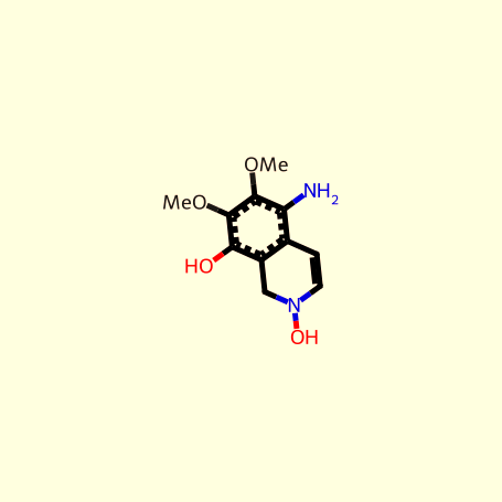 COc1c(N)c2c(c(O)c1OC)CN(O)C=C2